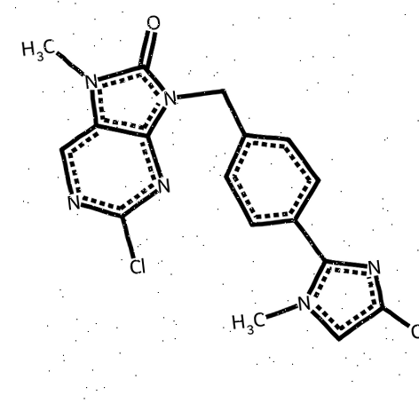 Cn1cc(C(F)(F)F)nc1-c1ccc(Cn2c(=O)n(C)c3cnc(Cl)nc32)cc1